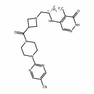 C[C@@H](CN1CC(C(=O)N2CCN(c3ncc(C#N)cn3)CC2)C1)Nc1cn[nH]c(=O)c1C(F)(F)F